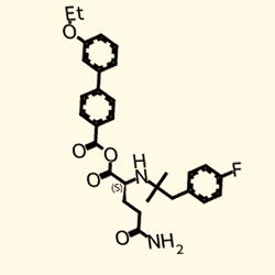 CCOc1cccc(-c2ccc(C(=O)OC(=O)[C@H](CCC(N)=O)NC(C)(C)Cc3ccc(F)cc3)cc2)c1